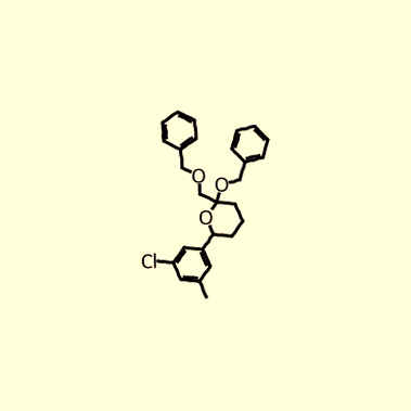 Cc1cc(Cl)cc(C2CCCC(COCc3ccccc3)(OCc3ccccc3)O2)c1